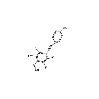 CCCCCc1ccc(C#Cc2c(F)c(F)c(SC#N)c(F)c2F)cc1